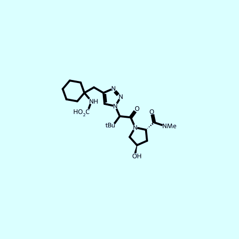 CNC(=O)[C@@H]1C[C@@H](O)CN1C(=O)C(n1cc(CC2(NC(=O)O)CCCCC2)nn1)C(C)(C)C